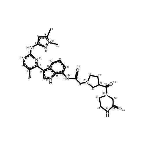 Cc1cnc(Nc2cc(C)n(C)n2)nc1-c1c[nH]c2c(NC(=O)CN3CCC(C(=O)N4CCNC(=O)C4)C3)cccc12